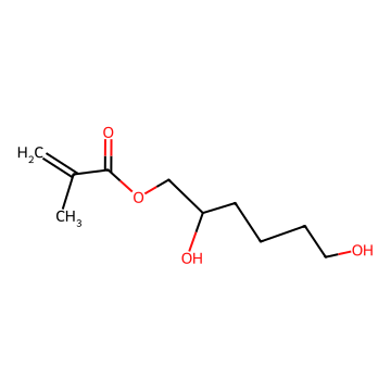 C=C(C)C(=O)OCC(O)CCCCO